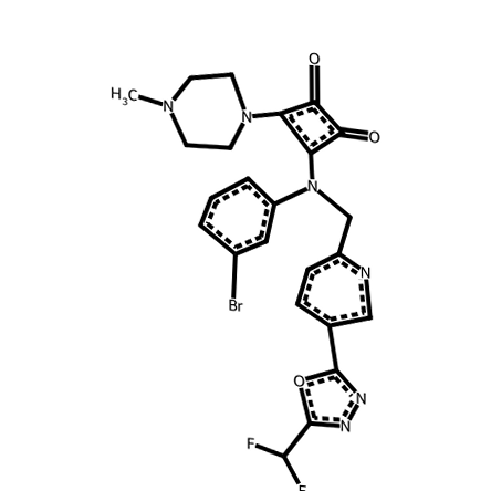 CN1CCN(c2c(N(Cc3ccc(-c4nnc(C(F)F)o4)cn3)c3cccc(Br)c3)c(=O)c2=O)CC1